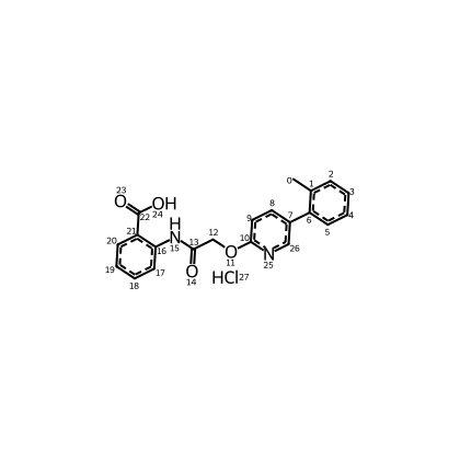 Cc1ccccc1-c1ccc(OCC(=O)Nc2ccccc2C(=O)O)nc1.Cl